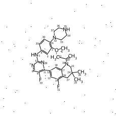 COc1cc(Nc2ncc(F)c(-c3cc(F)c4c(c3)N(C(C)C)CC(C)(C)C4)n2)ccc1N1CCNCC1